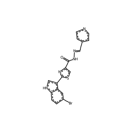 O=C(NN=Cc1ccncc1)c1csc(-c2c[nH]c3ccc(Br)cc23)n1